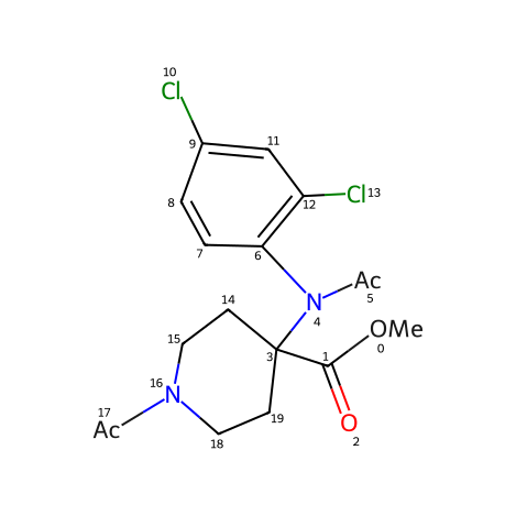 COC(=O)C1(N(C(C)=O)c2ccc(Cl)cc2Cl)CCN(C(C)=O)CC1